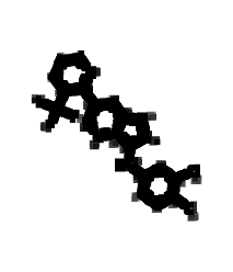 FC(F)(F)c1cccnc1-c1cnn2c(Nc3ccc(Cl)c(Cl)c3)nnc2c1